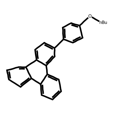 CCCCOc1ccc(-c2ccc3c4ccccc4c4ccccc4c3c2)cc1